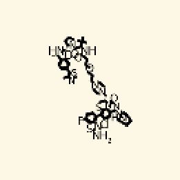 Cc1ncsc1-c1ccc([C@H](C)NC(=O)[C@@H]2CCCN2C(=O)[C@@H](NC(=O)CCOCCCN2CCN(C[C@H]3CSc4c(-c5ccc(F)c6sc(N)nc56)c(Cl)cc5c(N6CC7CCC(C6)N7)nc(=O)n3c45)CC2)C(C)(C)C)cc1